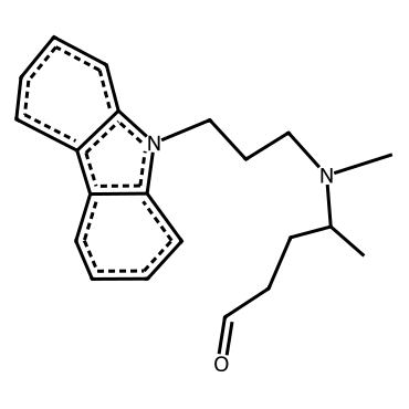 CC(CCC=O)N(C)CCCn1c2ccccc2c2ccccc21